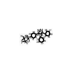 CC1(C)OB(c2ccc(-c3nnc(-c4ccccc4)n3-c3ccccc3)cc2)OC1(C)C